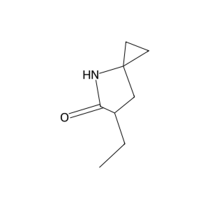 CCC1CC2(CC2)NC1=O